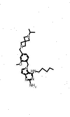 CCCCCNc1nc(N)nc2ccn(Cc3ccc(CN4CC5(C4)CN(C(C)C)C5)cc3OC)c12